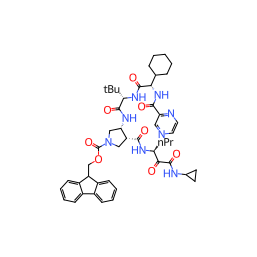 CCC[C@H](NC(=O)[C@@H]1CN(C(=O)OCC2c3ccccc3-c3ccccc32)C[C@@H]1NC(=O)[C@@H](NC(=O)[C@@H](NC(=O)c1cnccn1)C1CCCCC1)C(C)(C)C)C(=O)C(=O)NC1CC1